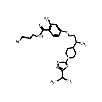 Cc1cc(OCC[C@@H](C)C2CCN(c3nc(C(C)C)no3)CC2)ccc1C(=O)NCCCO